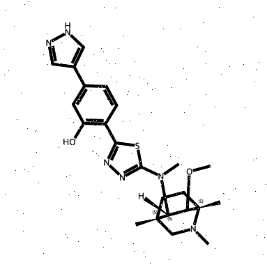 COC1[C@@H](N(C)c2nnc(-c3ccc(-c4cn[nH]c4)cc3O)s2)[C@@]2(C)CC[C@]1(C)N(C)C2